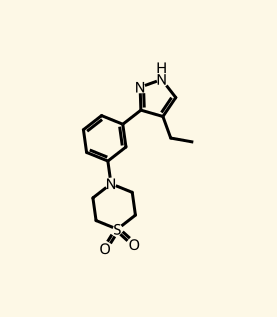 CCc1c[nH]nc1-c1cccc(N2CCS(=O)(=O)CC2)c1